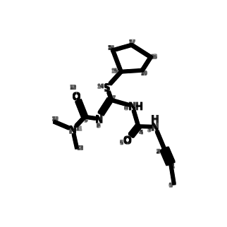 CC#CNC(=O)NC(=NC(=O)N(C)C)SC1CCCC1